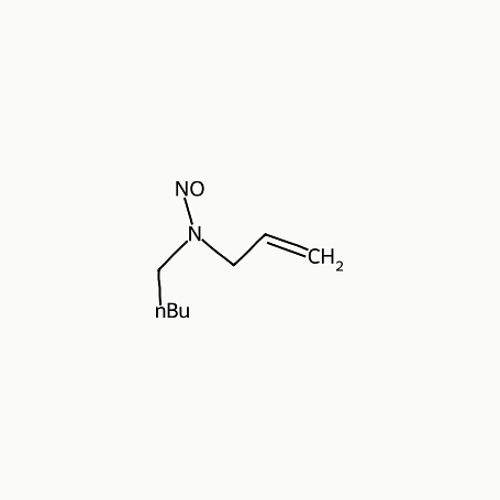 C=CCN(CCCCC)N=O